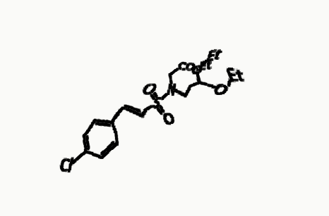 CCOC(=O)CN(CC(OCC)OCC)S(=O)(=O)C=Cc1ccc(Cl)cc1